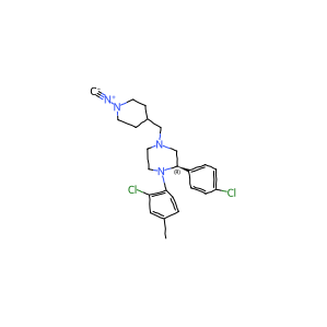 [C-]#[N+]N1CCC(CN2CCN(c3ccc(C)cc3Cl)[C@H](c3ccc(Cl)cc3)C2)CC1